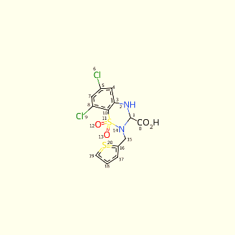 O=C(O)C1Nc2cc(Cl)cc(Cl)c2S(=O)(=O)N1Cc1cccs1